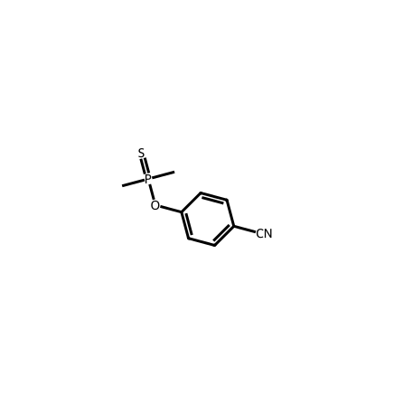 CP(C)(=S)Oc1ccc(C#N)cc1